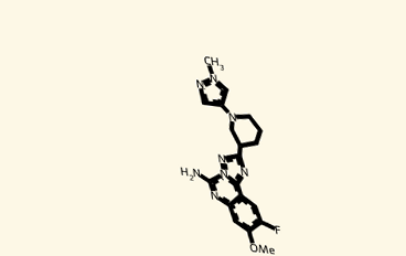 COc1cc2nc(N)n3nc(C4CCCN(c5cnn(C)c5)C4)nc3c2cc1F